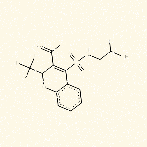 CC(C)CNS(=O)(=O)C1=C(C(=O)O)C(C(F)(F)F)Oc2ccccc21